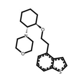 c1cc(CCO[C@@H]2CCCC[C@H]2N2CCOCC2)c2ccsc2c1